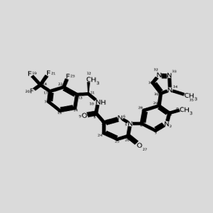 Cc1ncc(-n2nc(C(=O)N[C@H](C)c3cccc(C(F)(F)F)c3F)ccc2=O)cc1-c1cnnn1C